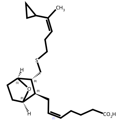 CC(=CCCSC[C@@H]1[C@@H](C/C=C\CCCC(=O)O)[C@H]2CC[C@@H]1O2)C1CC1